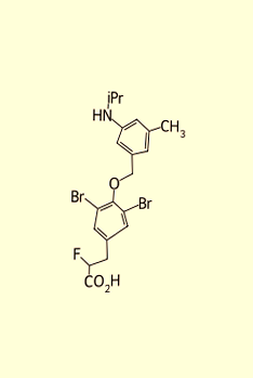 Cc1cc(COc2c(Br)cc(CC(F)C(=O)O)cc2Br)cc(NC(C)C)c1